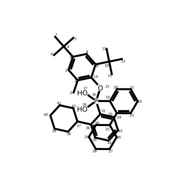 Cc1cc(C(C)(C)C)cc(C(C)(C)C)c1OP(O)(O)(c1ccccc1C1CCCCC1)c1ccccc1C1CCCCC1